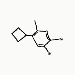 Cc1nc(O)c(Br)cc1C1CCC1